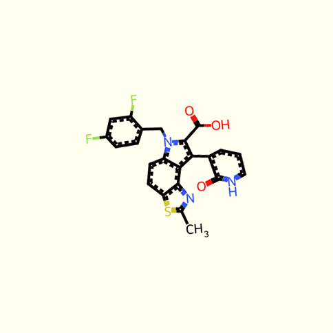 Cc1nc2c(ccc3c2c(-c2ccc[nH]c2=O)c(C(=O)O)n3Cc2ccc(F)cc2F)s1